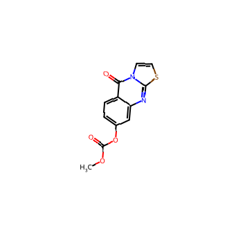 COC(=O)Oc1ccc2c(=O)n3ccsc3nc2c1